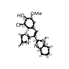 COc1cc(/C=C(\c2nc(C)cs2)c2nc3ccccc3n2C)cc(Cl)c1O